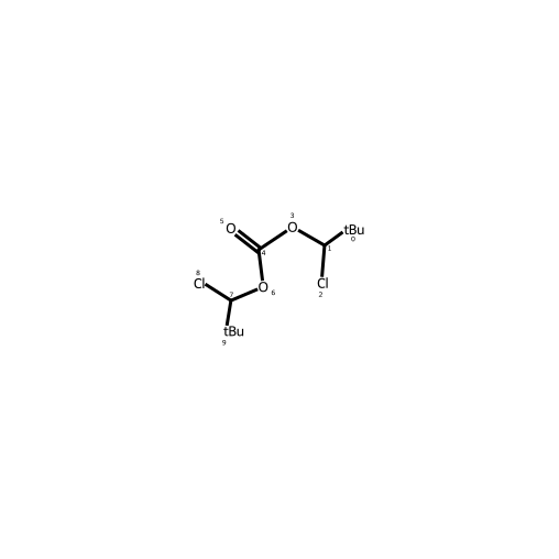 CC(C)(C)C(Cl)OC(=O)OC(Cl)C(C)(C)C